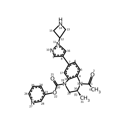 CC(=O)N1c2ccc(-c3cnn(C4CNC4)c3)cc2N(C(=O)Oc2cccnc2)C[C@@H]1C